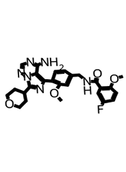 COc1ccc(F)cc1C(=O)NCc1ccc(-c2nc(C3CCOCC3)n3ncnc(N)c23)c(OC)c1